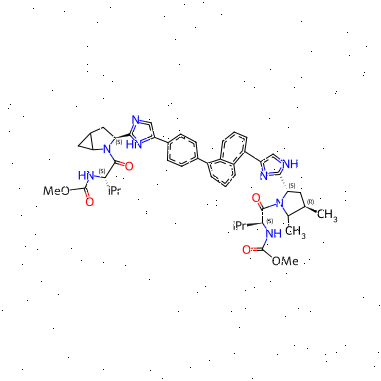 COC(=O)N[C@H](C(=O)N1C2CC2C[C@H]1c1ncc(-c2ccc(-c3cccc4c(-c5c[nH]c([C@@H]6C[C@@H](C)C(C)N6C(=O)[C@@H](NC(=O)OC)C(C)C)n5)cccc34)cc2)[nH]1)C(C)C